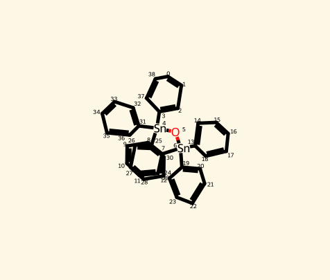 c1cc[c]([Sn]([O][Sn]([c]2ccccc2)([c]2ccccc2)[c]2ccccc2)([c]2ccccc2)[c]2ccccc2)cc1